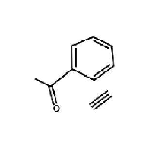 C#C.CC(=O)c1ccccc1